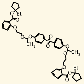 CCC1(OC(=O)c2ccccc2OCCOC(C)Oc2ccc(S(=O)(=O)c3ccc(OC(C)OCCOc4ccccc4C(=O)OC4(CC)CCCC4)cc3)cc2)CCCC1